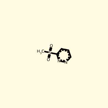 CS(=O)(=O)c1cccnn1